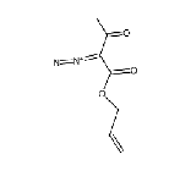 C=CCOC(=O)C(=[N+]=[N-])C(C)=O